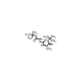 C[C@H](NC(=O)CNC(=O)OC(C)(C)C)C(=O)OC(C)(C)C